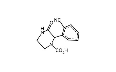 N#Cc1ccccc1C1C(=O)NCCN1C(=O)O